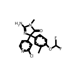 Cc1cc(C2(c3ccnc(Cl)c3)N=C(N)N(C)C2=O)ccc1OC(F)F